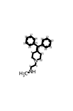 CNCCN1CCC(=C(c2ccccc2)c2ccccc2)CC1